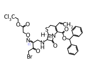 C=CC1=C(C(=O)OC(c2ccccc2)c2ccccc2)N2C(=O)C(NC/C(=N\OCC(=O)OCC(Cl)(Cl)Cl)C(=O)CBr)[C@H]2SC1